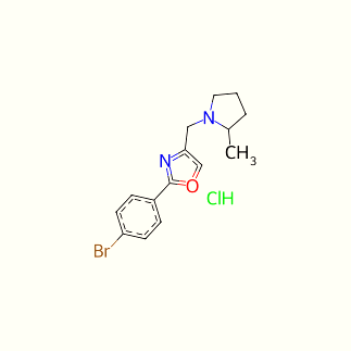 CC1CCCN1Cc1coc(-c2ccc(Br)cc2)n1.Cl